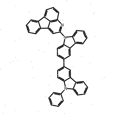 c1ccc(-n2c3ccccc3c3cc(-c4ccc5c(c4)c4ccccc4n5-c4cc5c6c(cccc6n4)-c4ccccc4-5)ccc32)cc1